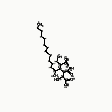 CCCCCCCCCCCCC(C)N(C(CO)C(=O)O)C(C(=O)O)C(O)C(=O)O